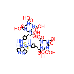 O=C(O)CN1CCN(CC(=O)O)CCN(C(CCc2ccc(NC(=S)N[C@@H]3c4cccnc4-c4ncccc4[C@H]3NC(=S)Nc3ccc(CCC(C(=O)O)N4CCN(CC(=O)O)CCN(CC(=O)O)CCN(CC(=O)O)CC4)cc3)cc2)C(=O)O)CCN(CC(=O)O)CC1